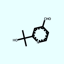 CC(C)(O)c1cc(C=O)ccn1